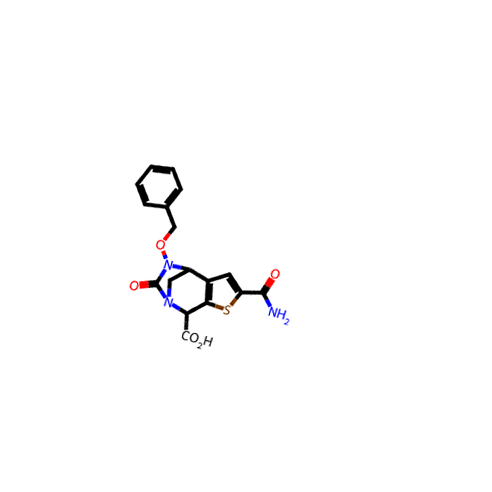 NC(=O)c1cc2c(s1)C(C(=O)O)N1CC2N(OCc2ccccc2)C1=O